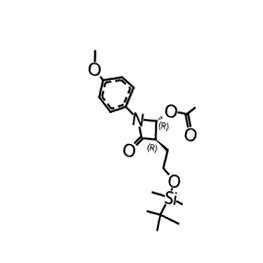 COc1ccc(N2C(=O)[C@H](CCO[Si](C)(C)C(C)(C)C)[C@H]2OC(C)=O)cc1